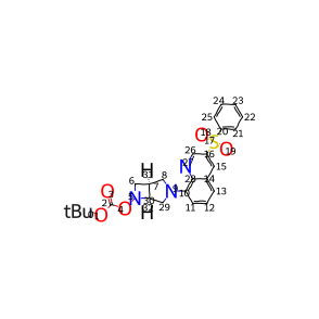 CC(C)(C)OC(=O)ON1C[C@H]2CN(c3cccc4cc(S(=O)(=O)c5ccccc5)cnc34)C[C@H]21